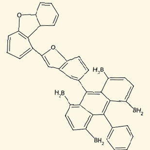 Bc1ccc(B)c2c(-c3ccc4oc(-c5cccc6c5C5C=CC=CC5O6)cc4c3)c3c(B)ccc(B)c3c(-c3ccccc3)c12